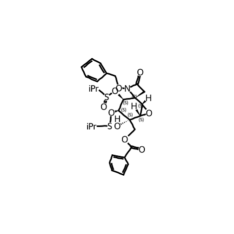 CC(C)SO[C@H]1[C@@H](OS(=O)C(C)C)[C@@]2(CC(=O)N2OCc2ccccc2)[C@@H]2O[C@@H]2[C@@]1(O)COC(=O)c1ccccc1